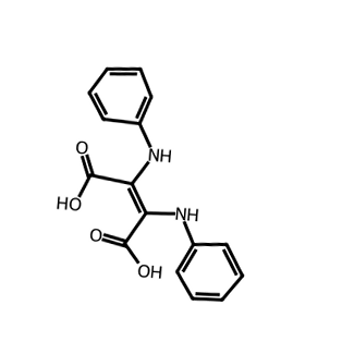 O=C(O)C(Nc1ccccc1)=C(Nc1ccccc1)C(=O)O